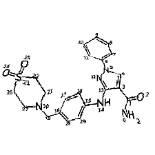 NC(=O)c1cn(-c2ccccc2)nc1Nc1ccc(CN2CCS(=O)(=O)CC2)cc1